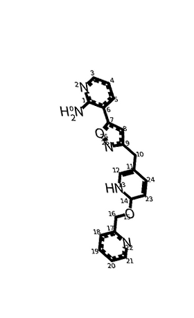 Nc1ncccc1-c1cc(CC2=CNC(OCc3ccccn3)C=C2)no1